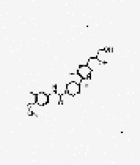 Cc1cc(NC(=O)N2CCC(F)(c3ncc(CC(O)CO)cc3C)CC2)ccc1OC(F)(F)F